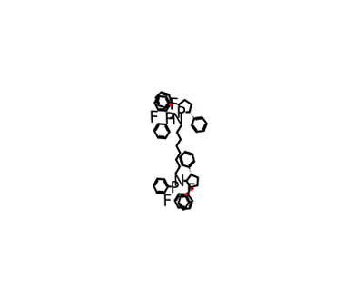 Fc1ccccc1P(c1ccccc1F)N(CCCCCCCCN(P(c1ccccc1F)c1ccccc1F)P1[C@@H](c2ccccc2)CC[C@@H]1c1ccccc1)C1[C@H](c2ccccc2)CC[C@H]1c1ccccc1